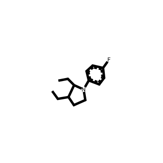 CCC1CCN(c2ccc(F)cc2)C1CC